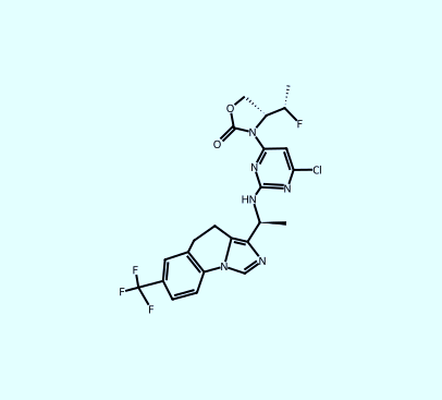 C[C@H](Nc1nc(Cl)cc(N2C(=O)OC[C@@H]2[C@H](C)F)n1)c1ncn2c1CCc1cc(C(F)(F)F)ccc1-2